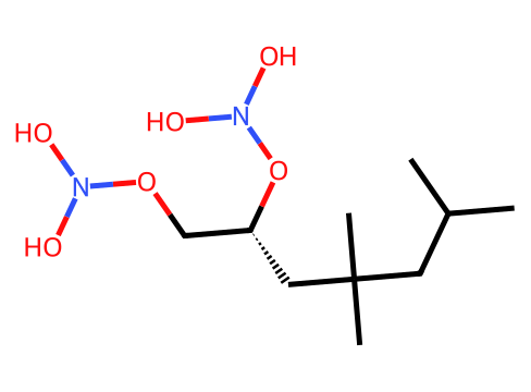 CC(C)CC(C)(C)C[C@H](CON(O)O)ON(O)O